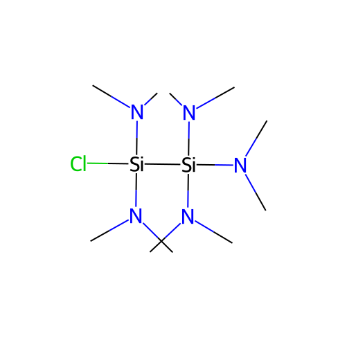 CN(C)[Si](Cl)(N(C)C)[Si](N(C)C)(N(C)C)N(C)C